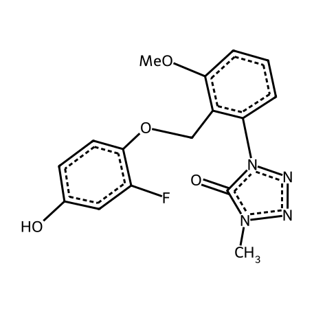 COc1cccc(-n2nnn(C)c2=O)c1COc1ccc(O)cc1F